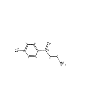 NCCC(=O)c1ccc(Cl)cc1